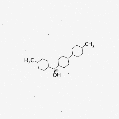 CC1CCC(C2CCC([C@@H](O)C3CCC(C)CC3)CC2)CC1